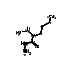 CCCCN(NC)C(=S)NN